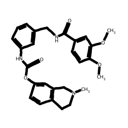 COc1ccc(C(=O)NCc2cccc(NC(=O)Oc3ccc4c(c3)CN(C)CC4)c2)cc1OC